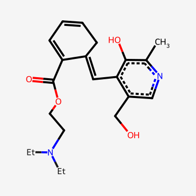 CCN(CC)CCOC(=O)C1=CC=CCC1=Cc1c(CO)cnc(C)c1O